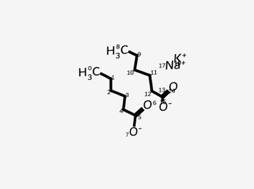 CCCCCC(=O)[O-].CCCCCC(=O)[O-].[K+].[Na+]